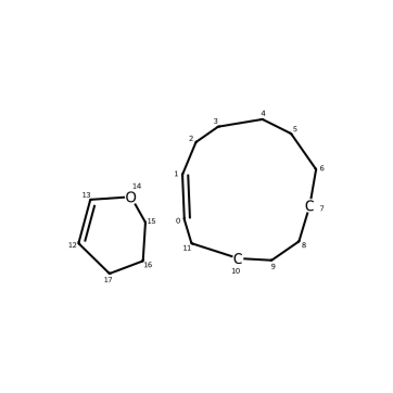 C1=CCCCCCCCCCC1.C1=COCCC1